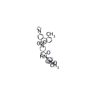 Cc1ccccc1-c1cc(N2CCC2)ccc1S(=O)(=O)N1CCC(F)(C(=O)N[C@H](C)/C=C\S(C)(=O)=O)CC1